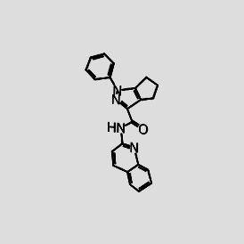 O=C(Nc1ccc2ccccc2n1)c1nn(-c2ccccc2)c2c1CCC2